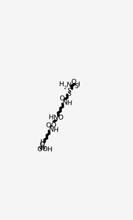 N[C@@H](CSSCCC(=O)NCCCCCC(=O)NCCOC(=O)NCCCCCCO[PH](=O)O)C(=O)SI